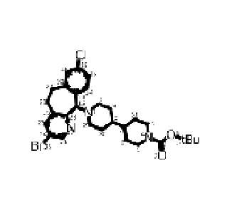 CC(C)(C)OC(=O)N1CCC(C2CCN(C3c4ccc(Cl)cc4CCc4cc(Br)cnc43)CC2)CC1